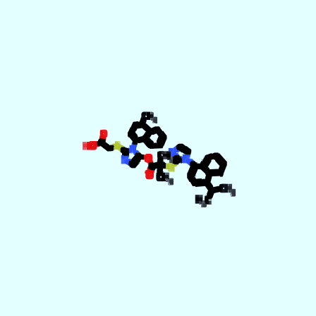 Cc1ccc(-n2c(OC(=O)C(C)(C)Sc3nccn3-c3ccc(C(C)C)c4ccccc34)cnc2SCC(=O)O)c2ccccc12